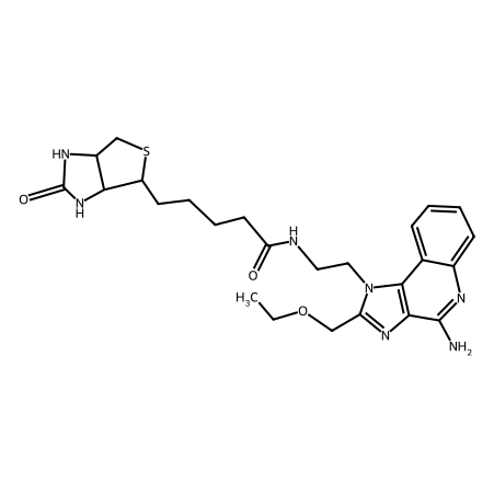 CCOCc1nc2c(N)nc3ccccc3c2n1CCNC(=O)CCCCC1SCC2NC(=O)NC21